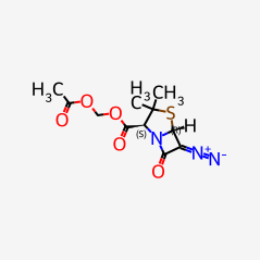 CC(=O)OCOC(=O)[C@@H]1N2C(=O)C(=[N+]=[N-])[C@H]2SC1(C)C